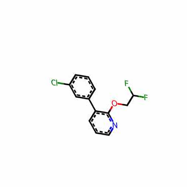 FC(F)COc1ncccc1-c1cccc(Cl)c1